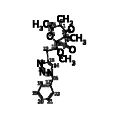 C=C1C(=O)[C@](C)(C(=O)OC)[C@@H](CCc2cn(Cc3ccccc3)nn2)O[C@H]1C